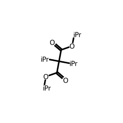 CC(C)OC(=O)C(C(=O)OC(C)C)(C(C)C)C(C)C